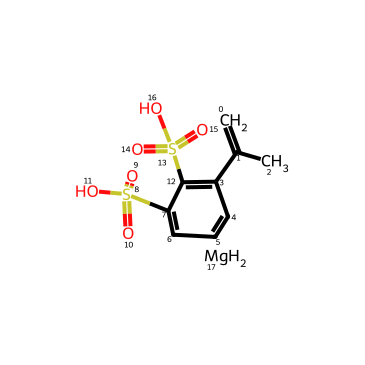 C=C(C)c1cccc(S(=O)(=O)O)c1S(=O)(=O)O.[MgH2]